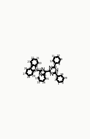 c1ccc(-c2nc(-c3ccccc3)nc(-c3nc(-n4c5ccccc5c5ccccc54)n4ccccc34)n2)cc1